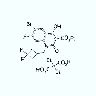 CCC(CC)(C(=O)O)C(=O)O.CCOC(=O)c1c(O)c2cc(Br)c(F)cc2n(CC2CC(F)(F)C2)c1=O